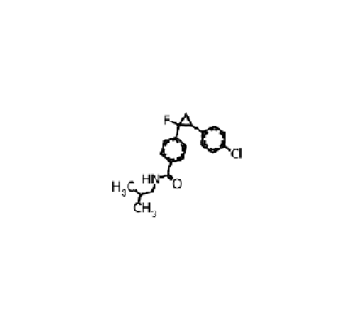 CC(C)CNC(=O)c1ccc(C2(F)CC2c2ccc(Cl)cc2)cc1